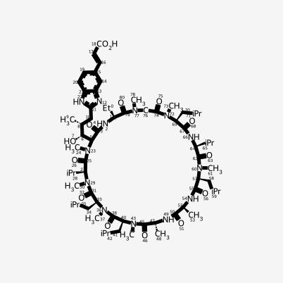 CC[C@@H]1NC(=O)C([C@H](O)[C@H](C)Cc2nc3cc(/C=C/C(=O)O)ccc3[nH]2)N(C)C(=O)[C@H](C(C)C)N(C)C(=O)[C@H](CC(C)C)N(C)C(=O)[C@H](CC(C)C)N(C)C(=O)[C@@H](C)NC(=O)[C@H](C)NC(=O)[C@H](CC(C)C)N(C)C(=O)[C@H](C(C)C)NC(=O)[C@H](CC(C)C)N(C)C(=O)CN(C)C1=O